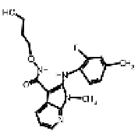 Cc1ccc(Nc2c(C(=O)NOCCCO)c3cccnc3n2C)c(F)c1